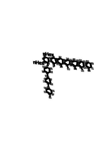 CCCCCCc1ccc(C)c(CCCCCC)c1.Cc1ccccc1.Cc1ccccc1.Cc1ccccc1.Cc1ccccc1.Cc1ccccc1.Cc1ccccc1.Cc1ccccc1.Cc1ccccc1.Cc1ccccc1